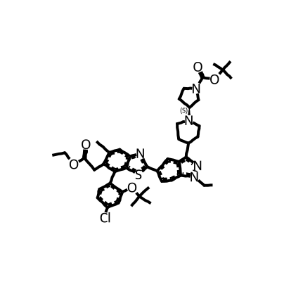 CCOC(=O)Cc1c(C)cc2nc(-c3ccc4c(c3)c(C3CCN([C@H]5CCN(C(=O)OC(C)(C)C)C5)CC3)nn4CC)sc2c1-c1ccc(Cl)cc1OC(C)(C)C